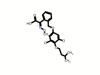 CO/N=C(/C(=O)O)c1ccccc1COc1cc(Cl)c(OCCC(C)C)c(Cl)c1